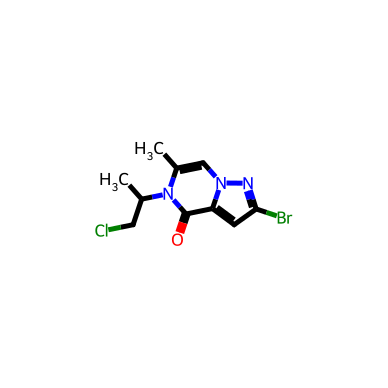 Cc1cn2nc(Br)cc2c(=O)n1C(C)CCl